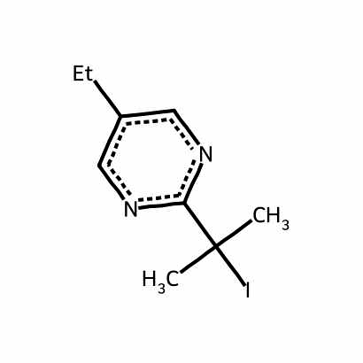 CCc1cnc(C(C)(C)I)nc1